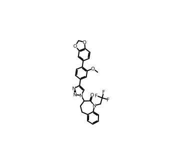 COc1cc(-c2cn(C3CCc4ccccc4N(CC(F)(F)F)C3=O)nn2)ccc1-c1ccc2c(c1)OCO2